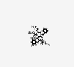 C=CC[C@H]1CN(Cc2ccccc2)C(=O)[C@@H]([C@@H](O)[C@H](Cc2cc(F)cc(F)c2)NC(=O)OC(C)(C)C)N1C(=O)OC(C)(C)C